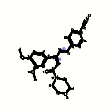 COc1ccc(C(=C\C(=O)N2CCOCC2)/C=C/c2ccc(C#N)cc2)cc1OC